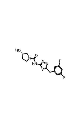 O=C(Nc1nnc(Cc2cc(F)cc(F)c2)s1)N1CC[C@H](O)C1